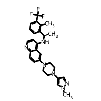 Cc1c([C@@H](C)Nc2ccnc3ccc(N4CCN(c5cnn(C)c5)CC4)cc23)cccc1C(F)(F)F